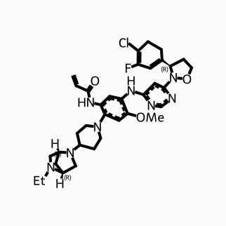 C=CC(=O)Nc1cc(Nc2cc(N3OCC[C@@H]3C3=CC(F)=C(Cl)CC3)ncn2)c(OC)cc1N1CCC(N2C[C@H]3C[C@@H]2CN3CC)CC1